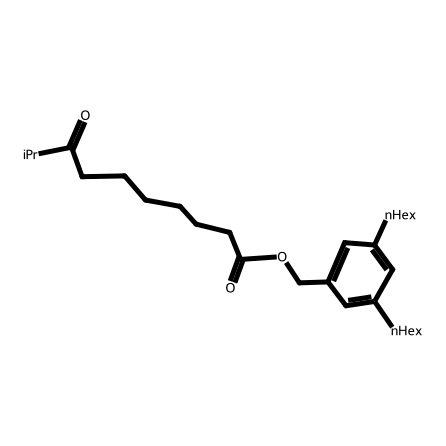 CCCCCCc1cc(CCCCCC)cc(COC(=O)CCCCCCC(=O)C(C)C)c1